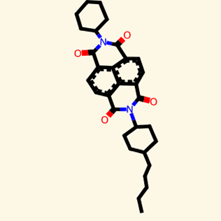 CCCCCC1CCC(N2C(=O)c3ccc4c5c(ccc(c35)C2=O)C(=O)N(C2CCCCC2)C4=O)CC1